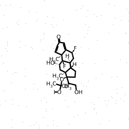 CC(C)(OI)O[C@]1(C(=O)CO)CC[C@H]2[C@@H]3C[C@H](F)C4=CC(=O)C=C[C@]4(C)[C@@]3(F)[C@@H](O)C[C@@]21C